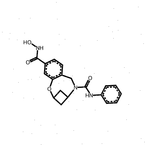 O=C(NO)c1ccc2c(c1)OC1CC(C1)N(C(=O)Nc1ccccc1)C2